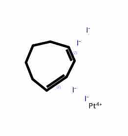 C1=C\CCCC\C=C/1.[I-].[I-].[I-].[I-].[Pt+4]